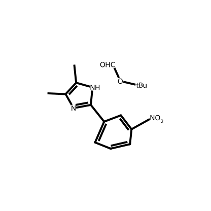 CC(C)(C)OC=O.Cc1nc(-c2cccc([N+](=O)[O-])c2)[nH]c1C